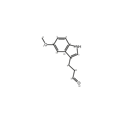 COc1ccc2[nH]cc(CCC=O)c2c1